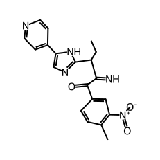 CCC(C(=N)C(=O)c1ccc(C)c([N+](=O)[O-])c1)c1ncc(-c2ccncc2)[nH]1